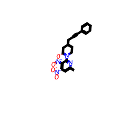 Cc1cc([N+](=O)[O-])c([N+](=O)[O-])c(N2CCC(CC#Cc3ccccc3)CC2)n1